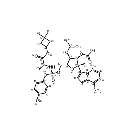 CCC(=O)O[C@H]1[C@@H](OC(=O)CC)[C@](C)(c2ccc3c(N)ncnn23)O[C@@H]1COP(=O)(N[C@@H](C)C(=O)OC1CC(C)(C)C1)Oc1ccc(C(C)(C)C)cc1